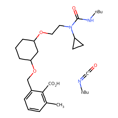 CCCCN=C=O.CCCCNC(=O)N(CCOC1CCCC(OCc2cccc(C)c2C(=O)O)C1)C1CC1